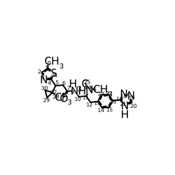 Cc1cnc(C(CC(=O)NCC(Cc2ccc(-c3nnc[nH]3)cc2)N(C)C)C2(C(F)(F)F)CC2)s1